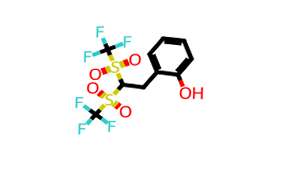 O=S(=O)(C(Cc1ccccc1O)S(=O)(=O)C(F)(F)F)C(F)(F)F